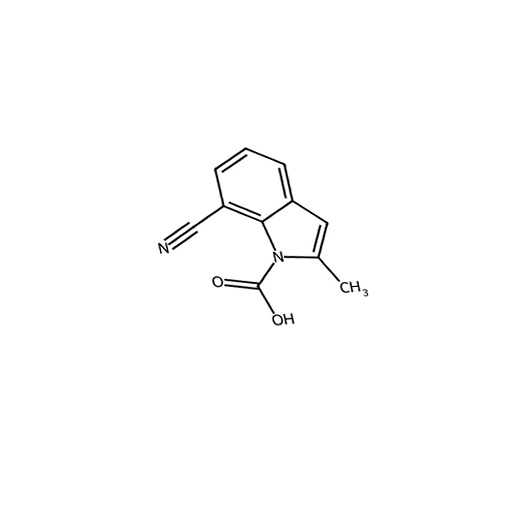 Cc1cc2cccc(C#N)c2n1C(=O)O